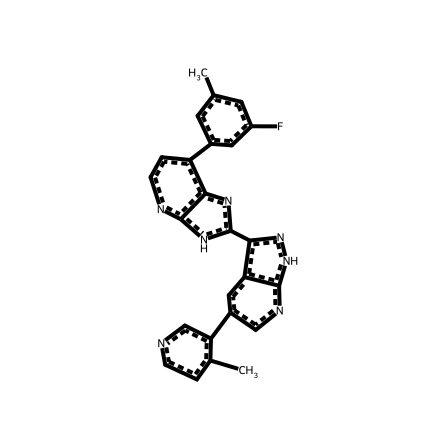 Cc1cc(F)cc(-c2ccnc3[nH]c(-c4n[nH]c5ncc(-c6cnccc6C)cc45)nc23)c1